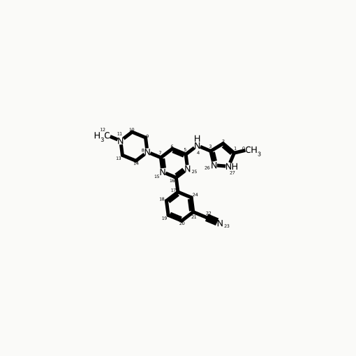 Cc1cc(Nc2cc(N3CCN(C)CC3)nc(-c3cccc(C#N)c3)n2)n[nH]1